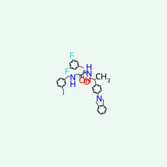 CC(C(=O)N[C@@H](Cc1cc(F)cc(F)c1)[C@@H](O)CNCc1cccc(I)c1)c1ccc(N2Cc3ccccc3C2)cc1